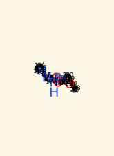 O=C(NC1CCN(CCN2CCCCCC2)CC1)Oc1cc2c(OCC3CCC3)cccc2[nH]1